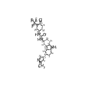 Cn1cc(-c2ccc3[nH]c4c(c3c2)CC(NC(=O)Nc2ccc(Cl)c(C(F)(F)F)c2)CC4)cn1